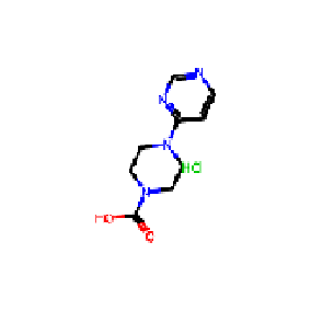 Cl.O=C(O)N1CCN(c2ccncn2)CC1